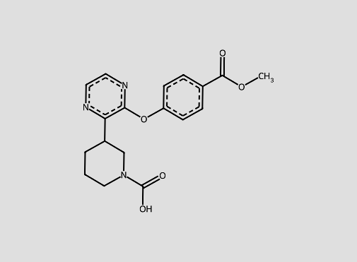 COC(=O)c1ccc(Oc2nccnc2C2CCCN(C(=O)O)C2)cc1